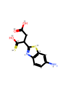 Nc1ccc2nc(C(CC(=O)O)C(O)=S)sc2c1